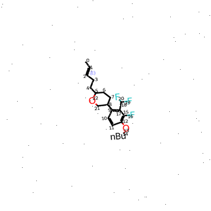 C/C=C/CCC1CCC(c2ccc(OCCCC)c(F)c2C(F)F)CO1